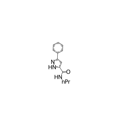 CCCNC(=O)c1cc(-c2ccccc2)n[nH]1